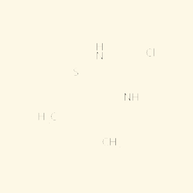 CC1SNC(Cl)N[C@@H]1C